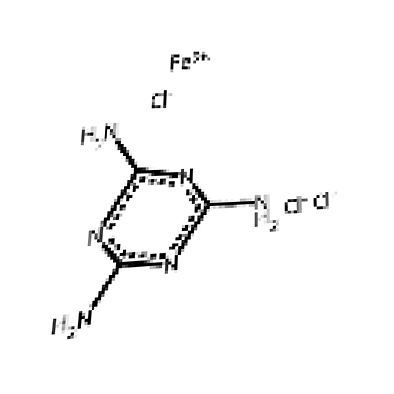 Nc1nc(N)nc(N)n1.[Cl-].[Cl-].[Cl-].[Fe+3]